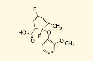 COc1ccccc1OC1(F)C(C)=CC(F)=CC1C(=O)O